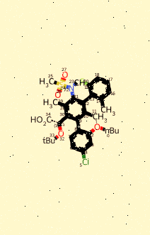 CCCCOc1cc(Cl)ccc1-c1c(C)c(-c2c(C)cccc2F)c(N(C)S(C)(=O)=O)c(C)c1[C@H](OC(C)(C)C)C(=O)O